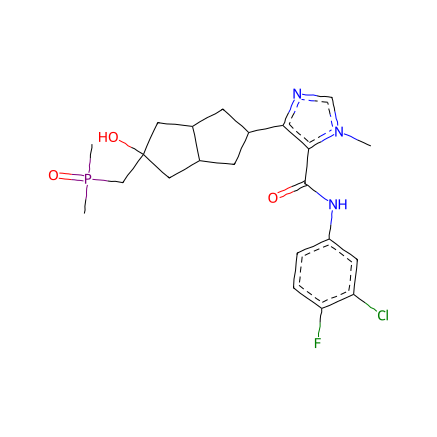 Cn1cnc(C2CC3CC(O)(CP(C)(C)=O)CC3C2)c1C(=O)Nc1ccc(F)c(Cl)c1